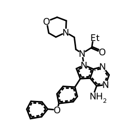 CCC(=O)N(CCN1CCOCC1)n1cc(-c2ccc(Oc3ccccc3)cc2)c2c(N)ncnc21